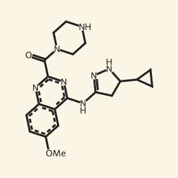 COc1ccc2nc(C(=O)N3CCNCC3)nc(NC3=NNC(C4CC4)C3)c2c1